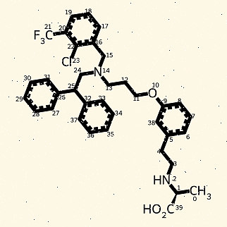 C[C@H](NCCc1cccc(OCCCN(Cc2cccc(C(F)(F)F)c2Cl)CC(c2ccccc2)c2ccccc2)c1)C(=O)O